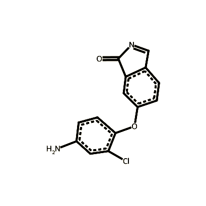 Nc1ccc(Oc2ccc3c(c2)C(=O)N=C3)c(Cl)c1